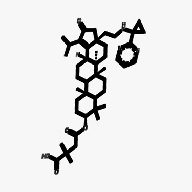 CC(C)C1=C2[C@H]3CCC4[C@@]5(C)CC[C@H](OC(=O)CC(C)(C)C(=O)O)C(C)(C)C5CC[C@@]4(C)[C@]3(C)CC[C@@]2(CCNC2(c3ncccn3)CC2)CC1=O